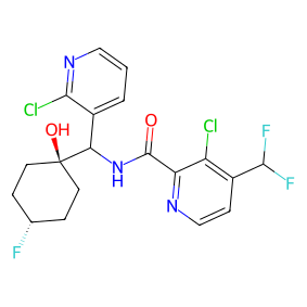 O=C(NC(c1cccnc1Cl)[C@]1(O)CC[C@H](F)CC1)c1nccc(C(F)F)c1Cl